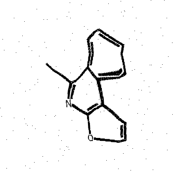 Cc1nc2occc2c2ccccc12